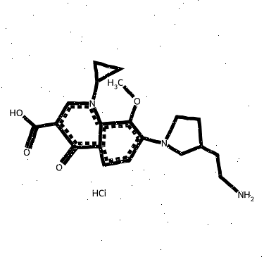 COc1c(N2CCC(CCN)C2)ccc2c(=O)c(C(=O)O)cn(C3CC3)c12.Cl